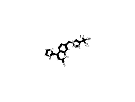 CCC(O)(c1cn(Cc2ccc3c(-c4nccs4)cc(=O)oc3c2)nn1)C(F)(F)F